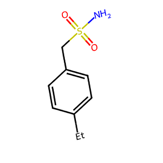 CCc1ccc(CS(N)(=O)=O)cc1